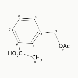 CC(=O)O.CC(=O)OCc1ccccc1